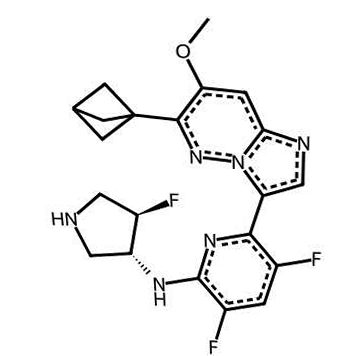 COc1cc2ncc(-c3nc(N[C@@H]4CNC[C@H]4F)c(F)cc3F)n2nc1C12CC(C1)C2